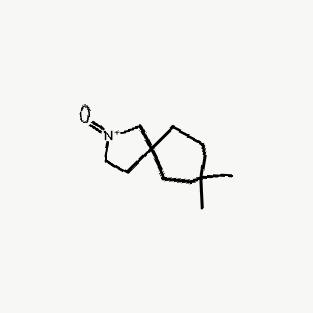 CC1(C)CCC2(CC[N+](=O)C2)C1